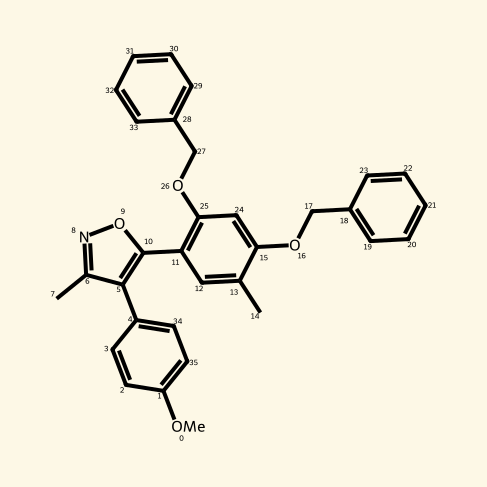 COc1ccc(-c2c(C)noc2-c2cc(C)c(OCc3ccccc3)cc2OCc2ccccc2)cc1